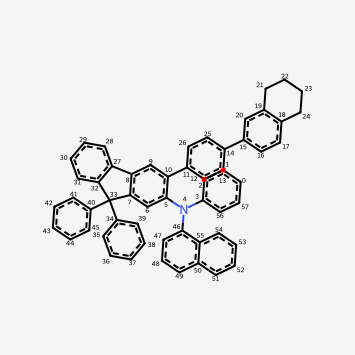 c1ccc(N(c2cc3c(cc2-c2ccc(-c4ccc5c(c4)CCCC5)cc2)-c2ccccc2C3(c2ccccc2)c2ccccc2)c2cccc3ccccc23)cc1